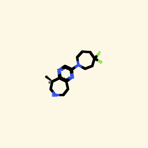 C[C@H]1CNCCc2nc(N3CCCC(F)(F)CC3)cnc21